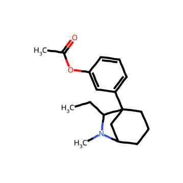 CCC1N(C)C2CCCC1(c1cccc(OC(C)=O)c1)C2